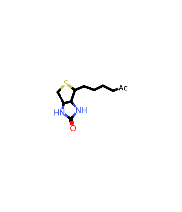 CC(=O)CCCCC1SCC2NC(=O)NC21